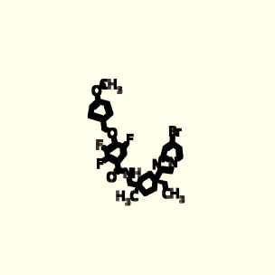 CC[C@]1(c2cn3ccc(Br)cc3n2)CC[C@@](C)(CNC(=O)c2cc(F)c(OCc3ccc(OC)cc3)c(F)c2F)CC1